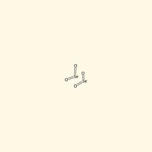 O=[Se]=O.O=[Se]=O